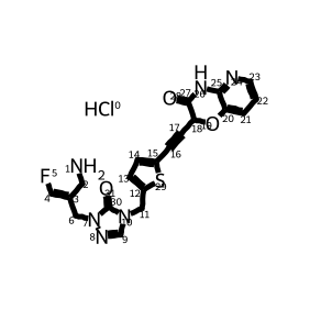 Cl.NC/C(=C\F)Cn1ncn(Cc2ccc(C#CC3Oc4cccnc4NC3=O)s2)c1=O